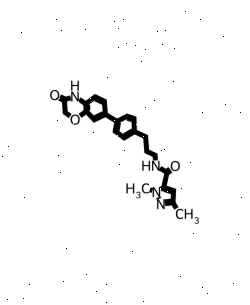 Cc1cc(C(=O)NCCCc2ccc(-c3ccc4c(c3)OCC(=O)N4)cc2)n(C)n1